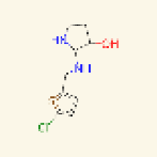 OC1CCNC1NCc1ccc(Cl)s1